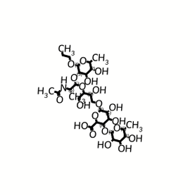 CCCO[C@@H]1OC(C)[C@H](O)C(O)[C@@H]1O[C@H](OC(CO)[C@H](O)CO[C@@H]1OC(C(=O)O)[C@H](O[C@@H]2O[C@@H](C)[C@H](O)C(O)C2O)C(O)[C@@H]1O)[C@H](C)NC(C)=O